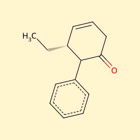 CC[C@@H]1C=CCC(=O)C1c1ccccc1